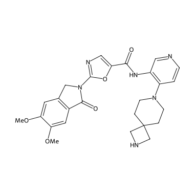 COc1cc2c(cc1OC)C(=O)N(c1ncc(C(=O)Nc3cnccc3N3CCC4(CC3)CNC4)o1)C2